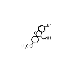 COC1CCC2(CC1)Oc1ccc(Br)cc1C2C=N